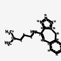 CN(C)CCCNC1=Nc2ccccc2Cn2nnnc21